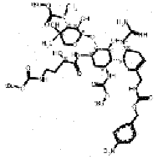 CN(C(=O)OC(C)(C)C)[C@@H]1[C@@H](O)[C@@H](O[C@H]2[C@H](NC(=O)[C@@H](O)CCNC(=O)OC(C)(C)C)C[C@H](NC(=O)OC(C)(C)C)C([C@H]3OC(CNC(=O)OCc4ccc([N+](=O)[O-])cc4)=CC[C@H]3NC(=N)N)[C@@H]2O)OC[C@]1(C)O